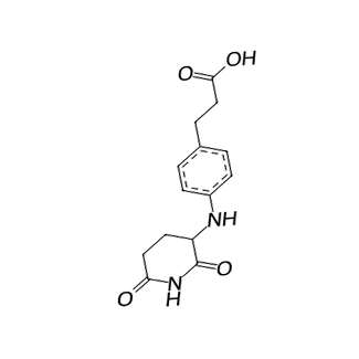 O=C(O)CCc1ccc(NC2CCC(=O)NC2=O)cc1